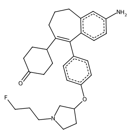 Nc1ccc2c(c1)CCCC(C1CCC(=O)CC1)=C2c1ccc(OC2CCN(CCCF)C2)cc1